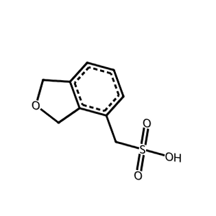 O=S(=O)(O)Cc1cccc2c1COC2